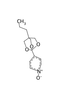 CCCC12COC(c3cc[n+]([O-])cc3)(OC1)OC2